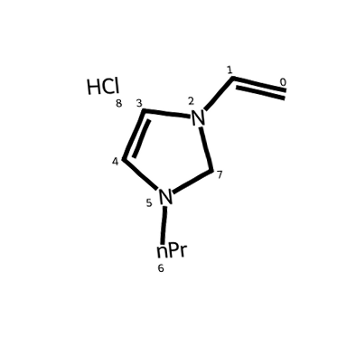 C=CN1C=CN(CCC)C1.Cl